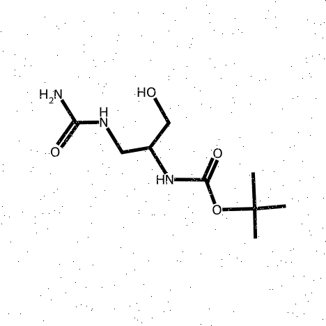 CC(C)(C)OC(=O)NC(CO)CNC(N)=O